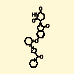 O=C1CCC(N2Cc3cc(O[C@@H]4CCCC[C@@H]4N4CC(C(=O)N5CCCCC5)C4)ccc3C2=O)C(=O)N1